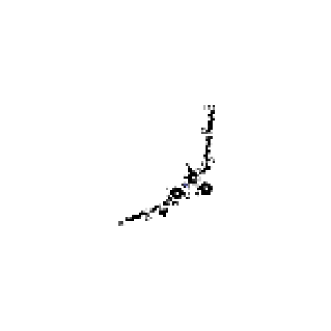 COc1cc(S(=O)(=O)CCN(CCOC(=O)CCCCCO)C(C)(C)C)c(OC)cc1/N=N/c1c(Nc2ccccc2)nc(NCC(C)OC(=O)CCCCCOC(=O)CCCCCO)c(C#N)c1C